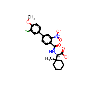 COc1ccc(-c2ccc(C(=O)N[C@H](C(=O)O)C3(C)CCCCC3)c([N+](=O)[O-])c2)cc1F